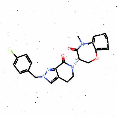 CN1C(=O)[C@@H](N2CCc3cn(Cc4ccc(F)cc4)nc3C2=O)COc2ccccc21